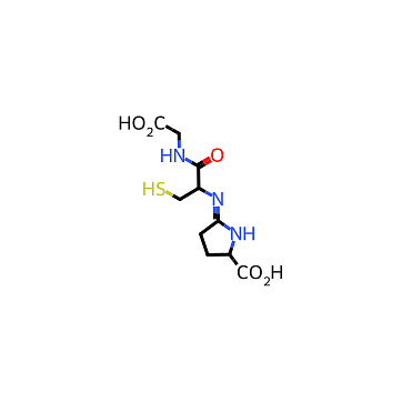 O=C(O)CNC(=O)C(CS)/N=C1\CCC(C(=O)O)N1